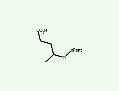 CCCCCOC(C)CCC(=O)O